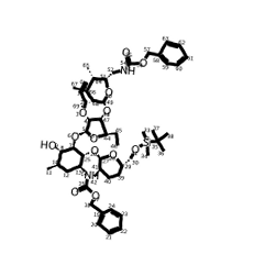 C=CCO[C@H]1[C@H](O[C@@H]2[C@@H](O)[C@H](C)C[C@H](NC(=O)OCc3ccccc3)[C@H]2O[C@H]2O[C@H](CO[Si](C)(C)C(C)(C)C)CC[C@H]2C)O[C@H](CC)[C@H]1O[C@H]1O[C@@H](CNC(=O)OCc2ccccc2)[C@@H](C)[C@H](C)[C@H]1C